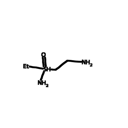 CC[SH](N)(=O)CCN